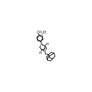 CCOC(=O)c1ccc(N2C[C@@H]3C[C@H]2CN3CC23CC4CC(CC(C4)C2)C3)cc1